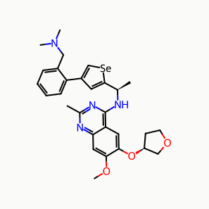 COc1cc2nc(C)nc(N[C@H](C)c3cc(-c4ccccc4CN(C)C)c[se]3)c2cc1O[C@H]1CCOC1